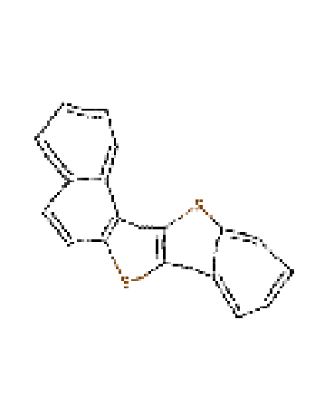 c1ccc2c(c1)ccc1sc3c4ccccc4sc3c12